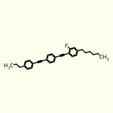 CCCCCCc1ccc(C#Cc2ccc(C#Cc3ccc(CCC)cc3)cc2)c(F)c1